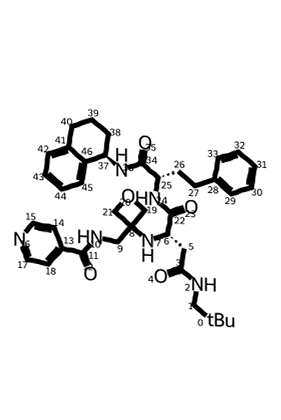 CC(C)(C)CNC(=O)C[C@H](NC1(CNC(=O)c2ccncc2)COC1)C(=O)N[C@@H](CCc1ccccc1)C(=O)N[C@@H]1CCCc2ccccc21